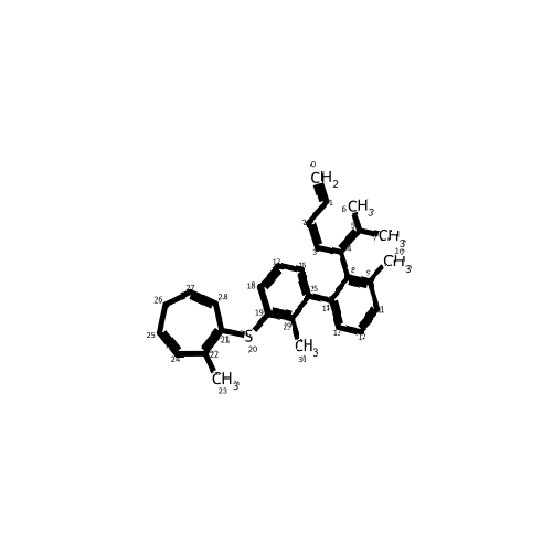 C=C/C=C\C(=C(C)C)c1c(C)cccc1-c1cccc(SC2=C(C)C=CCC=C2)c1C